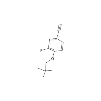 C#Cc1ccc(OCC(C)(C)C)c(F)c1